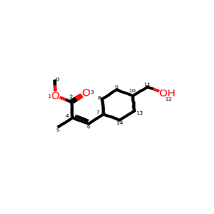 COC(=O)C(C)=CC1CCC(CO)CC1